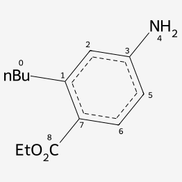 CCCCc1cc(N)ccc1C(=O)OCC